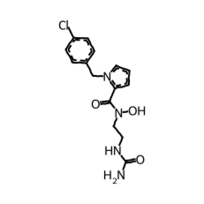 NC(=O)NCCN(O)C(=O)c1cccn1Cc1ccc(Cl)cc1